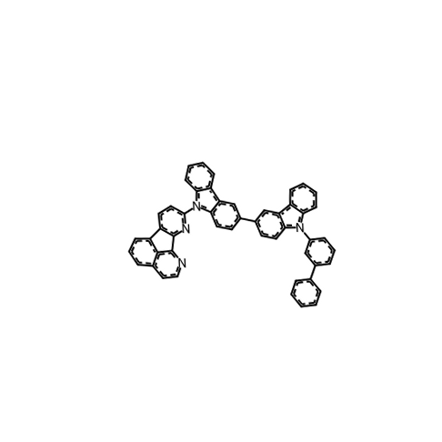 c1ccc(-c2cccc(-n3c4ccccc4c4cc(-c5ccc6c(c5)c5ccccc5n6-c5ccc6c(n5)-c5nccc7cccc-6c57)ccc43)c2)cc1